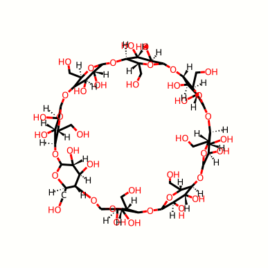 OC[C@H]1OC2O[C@H]3[C@H](O)[C@@H](O)C(O[C@H]4[C@H](O)[C@@H](O)C(OC5[C@@H](CO)OC(O[C@H]6[C@H](O)[C@@H](O)C(O[C@H]7[C@H](O)[C@@H](O)C(O[C@H]8[C@H](O)[C@@H](O)C(O[C@H]9[C@H](O)[C@@H](O)C(OC1[C@H](O)[C@H]2O)O[C@@H]9CO)O[C@@H]8CO)O[C@@H]7CO)O[C@@H]6CO)[C@H](O)[C@H]5O)O[C@@H]4CO)O[C@@H]3CO